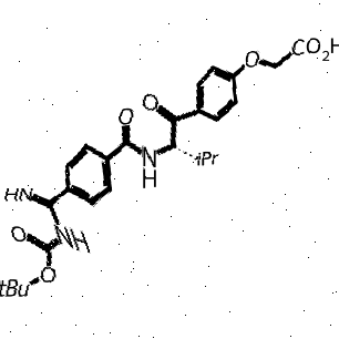 CC(C)[C@H](NC(=O)c1ccc(C(=N)NC(=O)OC(C)(C)C)cc1)C(=O)c1ccc(OCC(=O)O)cc1